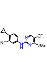 CNc1nc(Nc2ccc(C3CC3)c(C#N)c2)ncc1C(F)(F)F